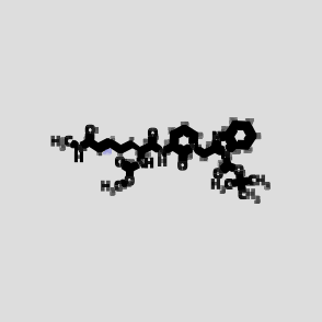 CNC(=O)/C=C/CC[C@H](NC(=O)OC)C(=O)Nc1cccn(Cc2nc3ccccc3n2C(=O)OC(C)(C)C)c1=O